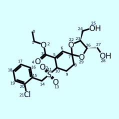 CCOC(=O)C1=CC2(CCC1S(=O)(=O)Cc1ccccc1Cl)O[C@@H](CO)[C@H](CO)O2